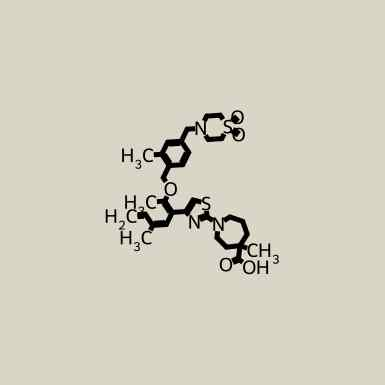 C=C/C(C)=C\C(=C(/C)OCc1ccc(CN2CCS(=O)(=O)CC2)cc1C)c1csc(N2CCCC(C)(C(=O)O)CC2)n1